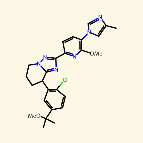 COc1nc(-c2nc3n(n2)CCCC3c2cc(C(C)(C)OC)ccc2Cl)ccc1-n1cnc(C)c1